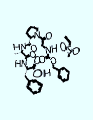 C=CS(C)(=O)=O.C[C@H](NC(=O)[C@@H]1CCCN1C(=O)CNC(=O)OCc1ccccc1)C(=O)N[C@@H](Cc1ccccc1)C(=O)O